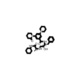 C[C@H](NC[C@@H](O)[C@H](Cc1ccccc1)NC(=O)c1cc(N2CCCCC2)cc(N2CCCCC2=O)c1)C(=O)NC1CCCCC1